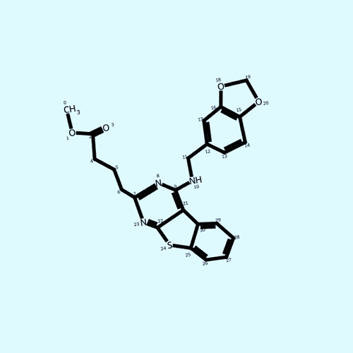 COC(=O)CCCc1nc(NCc2ccc3c(c2)OCO3)c2c(n1)sc1ccccc12